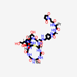 CC[C@H](C)[C@@H]1NC(=O)CNC(=O)[C@@H]2Cc3c([nH]c4ccccc34)SC[C@H](NC(=O)CNC1=O)C(=O)N[C@@H](CC(=O)NCc1ccc(NC(=O)[C@H](C)NC(=O)C(NC(=O)CCN3C(=O)C=CC3=O)C(C)C)cc1)C(=O)N1C[C@H](O)C[C@H]1C(=O)N[C@@H]([C@@H](C)[C@@H](O)CO)C(=O)N2